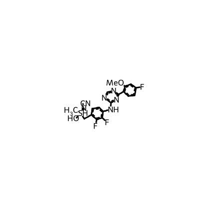 COc1cc(F)ccc1-c1ncnc(Nc2ccc(C[SH](C)(O)=NC#N)c(F)c2F)n1